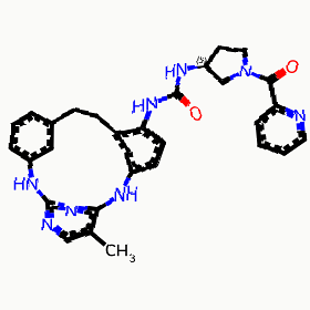 Cc1cnc2nc1Nc1ccc(NC(=O)N[C@H]3CCN(C(=O)c4ccccn4)C3)c(c1)CCc1cccc(c1)N2